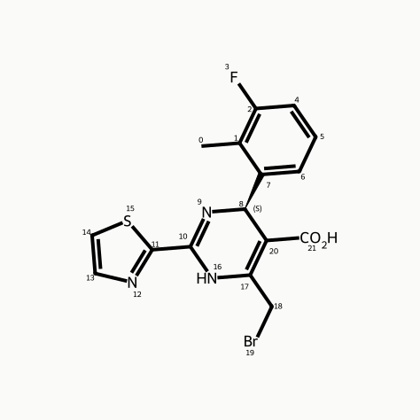 Cc1c(F)cccc1[C@@H]1N=C(c2nccs2)NC(CBr)=C1C(=O)O